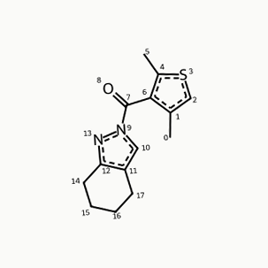 Cc1csc(C)c1C(=O)n1cc2c(n1)CCCC2